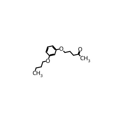 CCCCOc1cccc(OCCCC(C)=O)c1